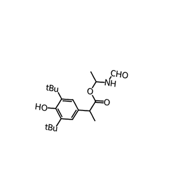 CC(NC=O)OC(=O)C(C)c1cc(C(C)(C)C)c(O)c(C(C)(C)C)c1